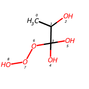 CC(O)C(O)(O)OOO